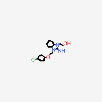 N=c1n(CCO)c2ccccc2n1CCOc1ccc(Cl)cc1